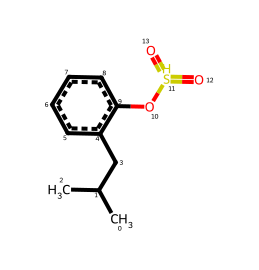 CC(C)Cc1ccccc1O[SH](=O)=O